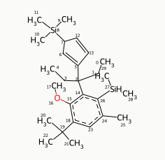 CCC(CC)(C1=CC([Si](C)(C)C)C=C1)c1c(OC)c(C(C)(C)C)cc(C)c1[SiH](C)C